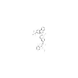 CCOC[C@@H](NC(=O)c1ccc2nc(NC(=O)c3ccccc3-c3ccc(C(F)(F)F)cc3)ccc2c1)c1ccccc1